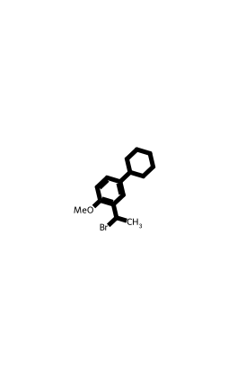 COc1ccc(C2CCCCC2)cc1C(C)Br